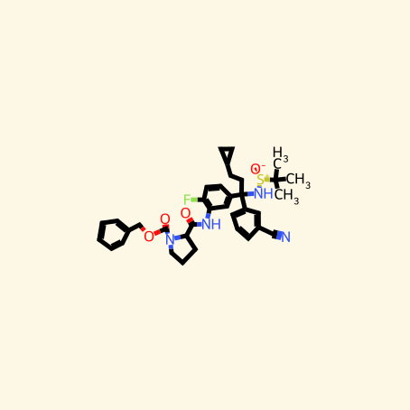 CC(C)(C)[S@@+]([O-])NC(CCC1CC1)(c1cccc(C#N)c1)c1ccc(F)c(NC(=O)C2CCCN2C(=O)OCc2ccccc2)c1